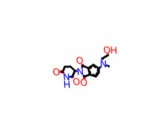 CN(CCO)c1ccc2c(c1)C(=O)N(C1CCC(=O)NC1=O)C2=O